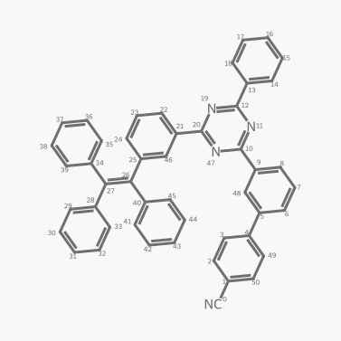 N#Cc1ccc(-c2cccc(-c3nc(-c4ccccc4)nc(-c4cccc(C(=C(c5ccccc5)c5ccccc5)c5ccccc5)c4)n3)c2)cc1